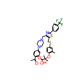 CC(=O)c1ccc(N2CCN(Cc3nc(-c4ccc(C(F)(F)F)cc4)sc3CSc3ccc(OC(C)(C)C(=O)O)c(C)c3)CC2)cc1